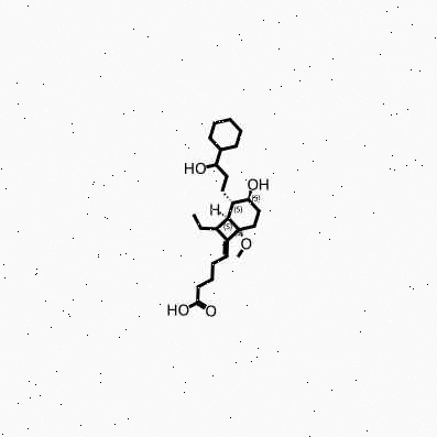 CCC1C(=CCCCC(=O)O)[C@]2(OC)CC[C@H](O)[C@@H](CCC(O)C3CCCCC3)[C@H]12